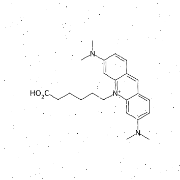 CN(C)c1ccc2cc3ccc(N(C)C)cc3[n+](CCCCCC(=O)O)c2c1